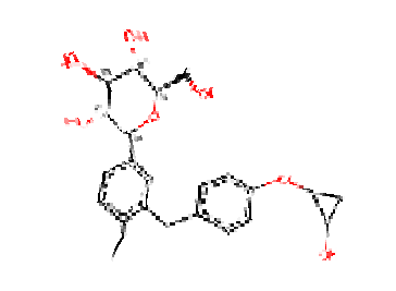 Cc1ccc([C@@H]2O[C@H](CO)[C@@H](O)[C@H](O)[C@H]2O)cc1Cc1ccc(OC2CC2O)cc1